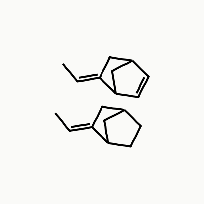 CC=C1CC2C=CC1C2.CC=C1CC2CCC1C2